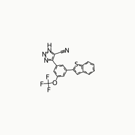 N#Cc1[nH]nnc1-c1cc(OC(F)(F)F)cc(-c2cc3ccccc3s2)c1